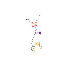 CCCCOC(CCCCCCCCc1ccsc1P)OCCCC.I